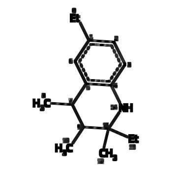 CCc1ccc2c(c1)C(C)C(C)C(C)(CC)N2